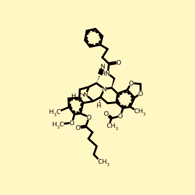 CCCCCC(=O)Oc1c(OC)c(C)cc2c1C1[C@@H]3Cc4c(OC(C)=O)c(C)c5c(c4[C@H](CNC(=O)CCc4ccccc4)N3[C@@H](C#N)C(C2)N1C)OCO5